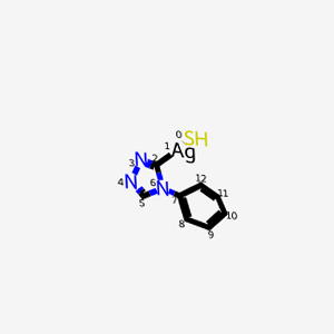 [SH][Ag][c]1nncn1-c1ccccc1